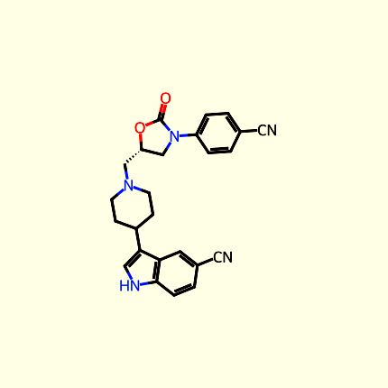 N#Cc1ccc(N2C[C@H](CN3CCC(c4c[nH]c5ccc(C#N)cc45)CC3)OC2=O)cc1